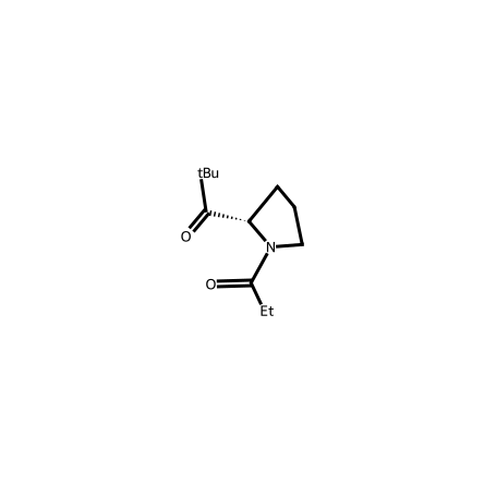 CCC(=O)N1CCC[C@H]1C(=O)C(C)(C)C